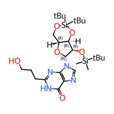 CC(C)(C)[Si](C)(C)O[C@@H]1[C@@H]2O[Si](C(C)(C)C)(C(C)(C)C)OC[C@H]2O[C@H]1n1cnc2c(=O)[nH]c(CCCO)nc21